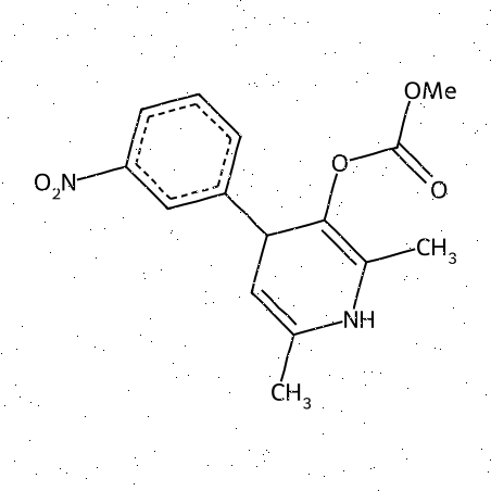 COC(=O)OC1=C(C)NC(C)=CC1c1cccc([N+](=O)[O-])c1